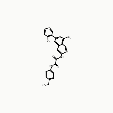 Cc1ccncc1-c1cc2cc(NC(=O)C(=O)Nc3ccc(CC#N)cc3)ncc2c(N)n1